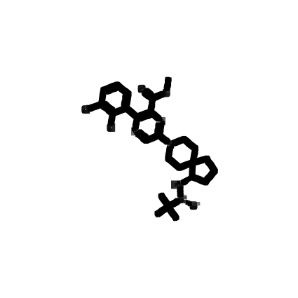 COC(=O)c1nc(N2CCC3(CCC[C@H]3N[S@+]([O-])C(C)(C)C)CC2)cnc1-c1cccc(Cl)c1Cl